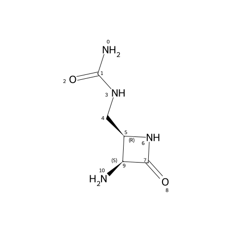 NC(=O)NC[C@H]1NC(=O)[C@H]1N